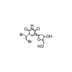 O=c1[nH]c(=O)n([C@H]2C[C@H](O)[C@@H](CO)O2)cc1/C(Br)=C\Br